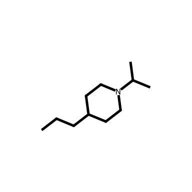 CCCC1CCN(C(C)C)CC1